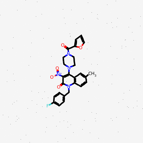 Cc1ccc2c(c1)c(N1CCN(C(=O)c3ccco3)CC1)c([N+](=O)[O-])c(=O)n2Cc1ccc(F)cc1